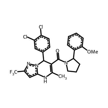 COc1ccccc1C1CCCN1C(=O)C1=C(C)Nc2cc(C(F)(F)F)nn2C1c1ccc(Cl)c(Cl)c1